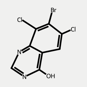 Oc1ncnc2c(Cl)c(Br)c(Cl)cc12